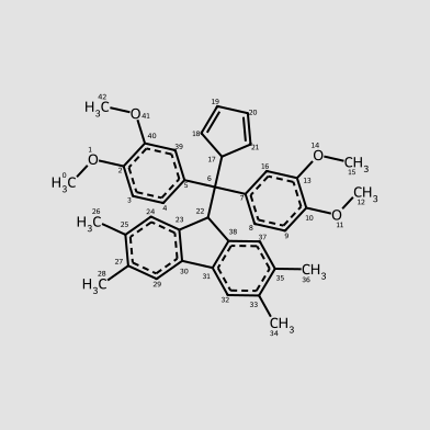 COc1ccc(C(c2ccc(OC)c(OC)c2)(C2C=CC=C2)C2c3cc(C)c(C)cc3-c3cc(C)c(C)cc32)cc1OC